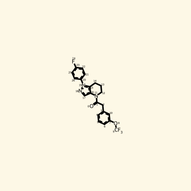 O=C(Cc1cccc(OC(F)(F)F)c1)N1CCCc2c1cnn2-c1ccc(F)cc1